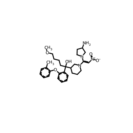 COCCCCC(O)(c1ccccc1Oc1ccccc1C)C1CCCN(C(=C[N+](=O)[O-])N2CCC(N)C2)C1